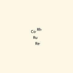 [Co].[Re].[Rh].[Ru]